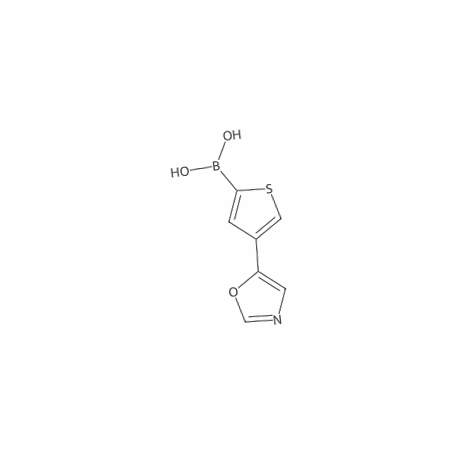 OB(O)c1cc(-c2cnco2)cs1